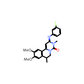 COc1cc2c(cc1OC)C(C)Cn1c-2cc(=Nc2cccc(F)c2)n(C)c1=O